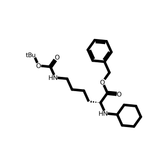 CC(C)(C)OC(=O)NCCCC[C@@H](NC1CCCCC1)C(=O)OCc1ccccc1